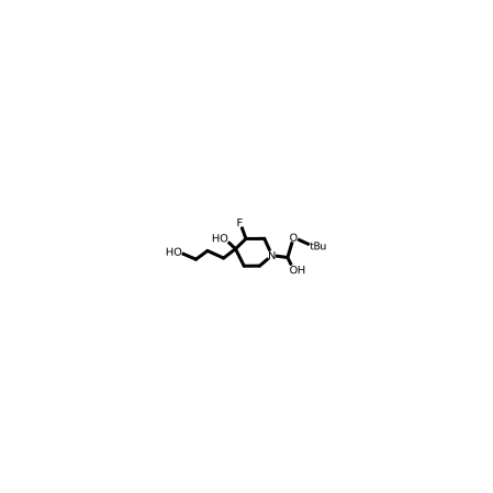 CC(C)(C)OC(O)N1CCC(O)(CCCO)C(F)C1